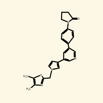 Cc1nc(Cn2ccc(-c3cncc(-c4ccc(N5CCCC5=O)cc4)c3)c2)oc1C